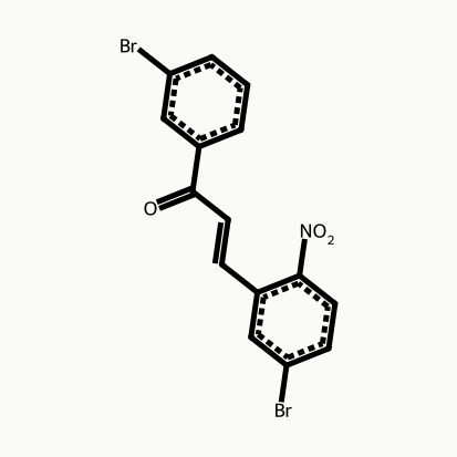 O=C(C=Cc1cc(Br)ccc1[N+](=O)[O-])c1cccc(Br)c1